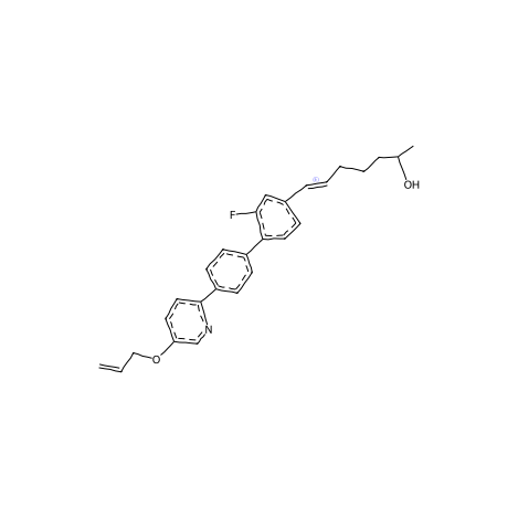 C=CCOc1ccc(-c2ccc(-c3ccc(/C=C/CCCC(C)O)cc3F)cc2)nc1